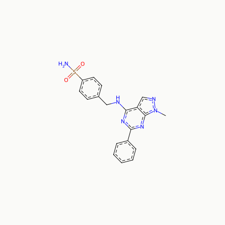 Cn1ncc2c(NCc3ccc(S(N)(=O)=O)cc3)nc(-c3ccccc3)nc21